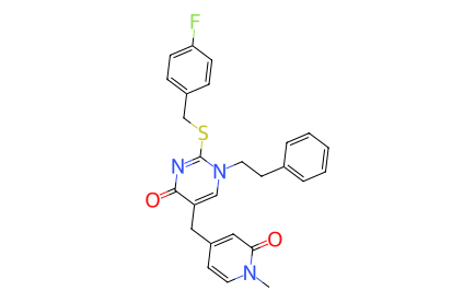 Cn1ccc(Cc2cn(CCc3ccccc3)c(SCc3ccc(F)cc3)nc2=O)cc1=O